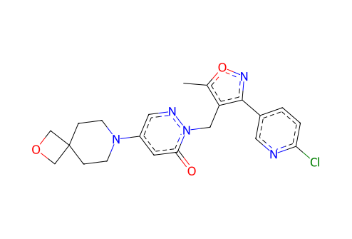 Cc1onc(-c2ccc(Cl)nc2)c1Cn1ncc(N2CCC3(CC2)COC3)cc1=O